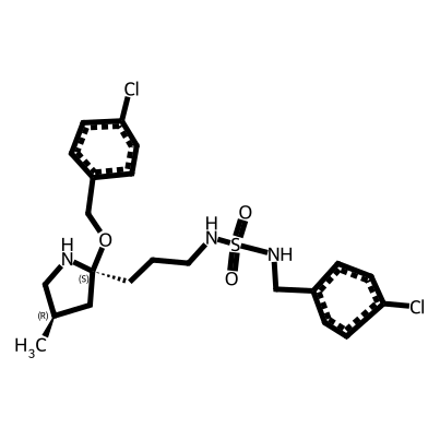 C[C@H]1CN[C@@](CCCNS(=O)(=O)NCc2ccc(Cl)cc2)(OCc2ccc(Cl)cc2)C1